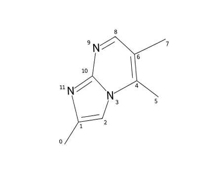 Cc1cn2c(C)c(C)cnc2n1